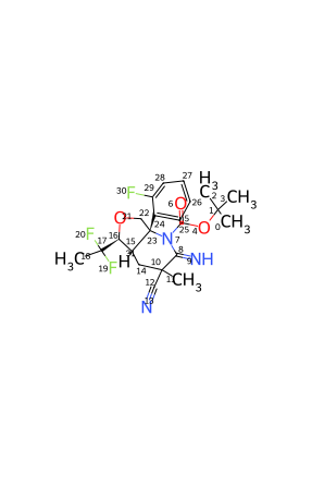 CC(C)(C)OC(=O)N1C(=N)C(C)(C#N)C[C@@H]2[C@@H](C(C)(F)F)OC[C@@]21c1ccccc1F